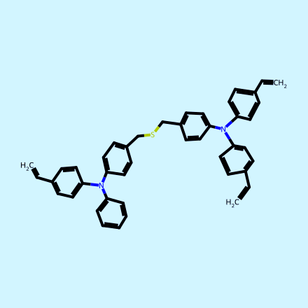 C=Cc1ccc(N(c2ccccc2)c2ccc(CSCc3ccc(N(c4ccc(C=C)cc4)c4ccc(C=C)cc4)cc3)cc2)cc1